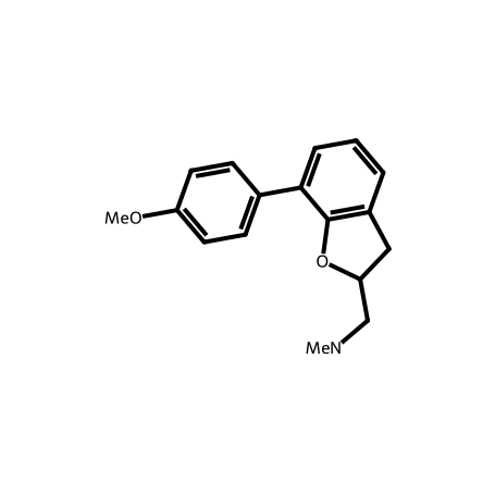 CNCC1Cc2cccc(-c3ccc(OC)cc3)c2O1